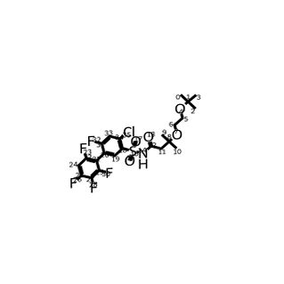 CC(C)(C)OCCOC(C)(C)CC(=O)NS(=O)(=O)c1cc(-c2c(F)cc(F)c(F)c2F)c(F)cc1Cl